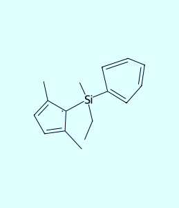 CC[Si](C)([C]1C(C)=CC=C1C)c1ccccc1